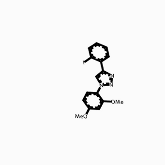 COc1ccc(-n2cc(-c3ccccc3I)nn2)c(OC)c1